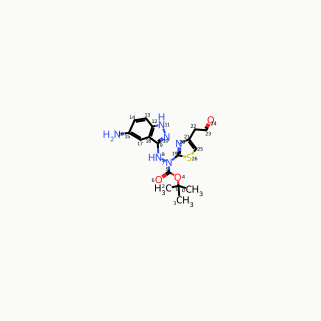 CC(C)(C)OC(=O)N(Nc1n[nH]c2ccc(N)cc12)c1nc(CC=O)cs1